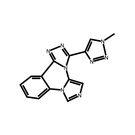 Cn1cc(-c2nnc3c4ccccc4n4cncc4n23)nn1